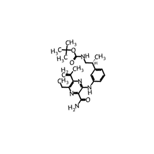 C=C(C)c1nc(Nc2cccc([C@@H](C)CNC(=O)OC(C)(C)C)c2)c(C(N)=O)nc1CC